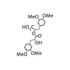 COc1ccc(CC(O)C(=O)OC(Cc2ccc(OC)c(OC)c2)C(=O)O)cc1OC